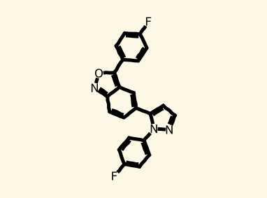 Fc1ccc(-c2onc3ccc(-c4ccnn4-c4ccc(F)cc4)cc23)cc1